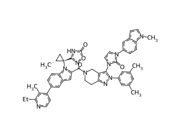 CCc1nccc(-c2ccc3c(c2)cc(C(=O)N2CCc4nn(-c5cc(C)cc(C)c5)c(-n5ccn(-c6ccc7c(ccn7C)c6)c5=O)c4C2)n3[C@@]2(c3noc(=O)[nH]3)C[C@H]2C)c1C